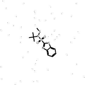 CSN(C(C)(C)C)S(=O)(=O)c1nc2ccccc2s1